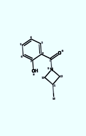 O=C(c1ccccc1O)N1CC(I)C1